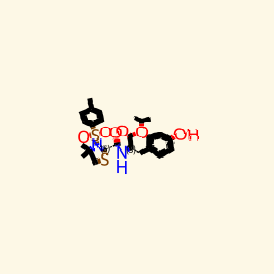 Cc1ccc(S(=O)(=O)N2[C@H](C(=O)N[C@@H](Cc3ccc(O)cc3)C(=O)OC(C)C)SCC2(C)C)cc1